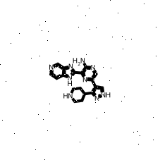 Nc1ncc(-c2c[nH]nc2C2CCNCC2)nc1-c1nc2cnccc2[nH]1